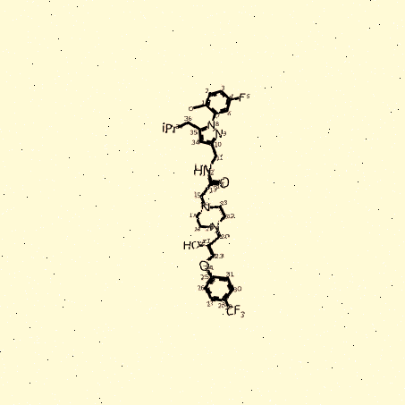 Cc1ccc(F)cc1-n1nc(CNC(=O)CN2CCN(C[C@H](O)COc3ccc(C(F)(F)F)cc3)CC2)cc1CC(C)C